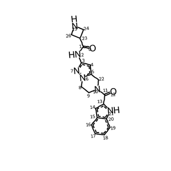 O=C(Nc1cc2n(n1)CCN(C(=O)c1cc3ccccc3[nH]1)C2)C1CNC1